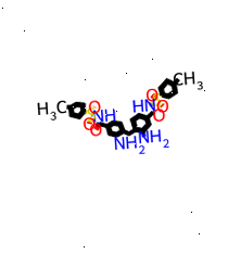 Cc1ccc(S(=O)(=O)NC(=O)c2ccc(Cc3ccc(C(=O)NS(=O)(=O)c4ccc(C)cc4)cc3N)c(N)c2)cc1